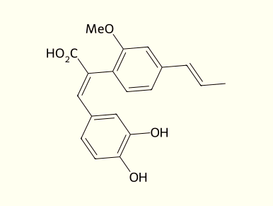 C/C=C/c1ccc(/C(=C\c2ccc(O)c(O)c2)C(=O)O)c(OC)c1